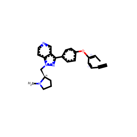 BN1CCC[C@@H]1Cn1nc(-c2ccc(OC(/C=C\C#C)=C/C)cc2)c2cnccc21